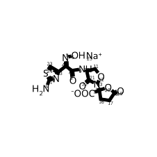 Nc1nc(/C(=N/O)C(=O)N[C@H]2CON(C3(C(=O)[O-])CCC(=O)O3)C2=O)cs1.[Na+]